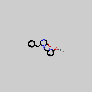 COc1cccc(CN2C(=O)CNC[C@@H]2Cc2ccccc2)n1